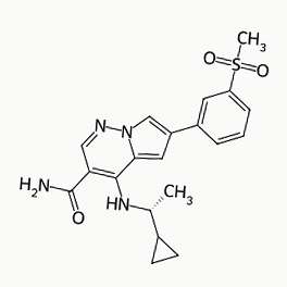 C[C@@H](Nc1c(C(N)=O)cnn2cc(-c3cccc(S(C)(=O)=O)c3)cc12)C1CC1